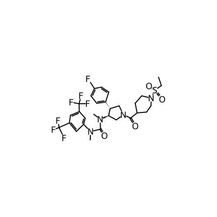 CCS(=O)(=O)N1CCC(C(=O)N2C[C@@H](N(C)C(=O)N(C)c3cc(C(F)(F)F)cc(C(F)(F)F)c3)[C@H](c3ccc(F)cc3)C2)CC1